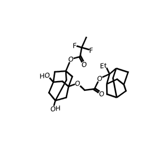 CCC1(OC(=O)COC23CC4(O)CC(O)(C2)CC(OC(=O)C(C)(F)F)(C4)C3)C2CC3CC(C2)CC1C3